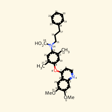 COc1cc2nccc(Oc3cc(C)c(N(CCCc4ccccc4)C(=O)O)cc3C)c2cc1OC